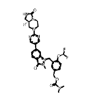 CN(C)C(=O)OCc1ccc(OC(F)F)c(Cn2c3cc(-c4cnc(N5CCN6C(=O)NC[C@@H]6C5)nc4)ccc3c(=O)n2C)c1